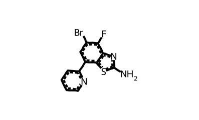 Nc1nc2c(F)c(Br)cc(-c3ccccn3)c2s1